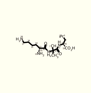 CC(C)C[C@H](NC(=O)C(C)(C)NC(=O)[C@@H](N)CCCCN)C(=O)O